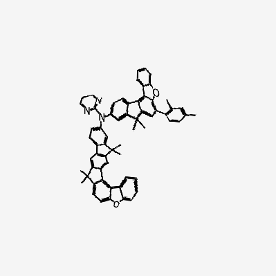 Cc1ccc(-c2cc3c(c4c2oc2ccccc24)-c2ccc(N(C4=NCCC=N4)c4ccc5c(c4)C(C)(C)c4cc6c(cc4-5)C(C)(C)c4ccc5oc7ccccc7c5c4-6)cc2C3(C)C)c(C)c1